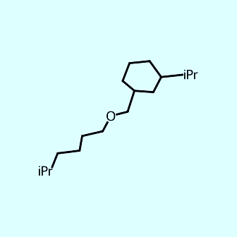 CC(C)CCCCOCC1CCCC(C(C)C)C1